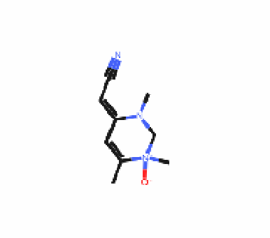 CC1=CC(=CC#N)N(C)C[N+]1(C)[O-]